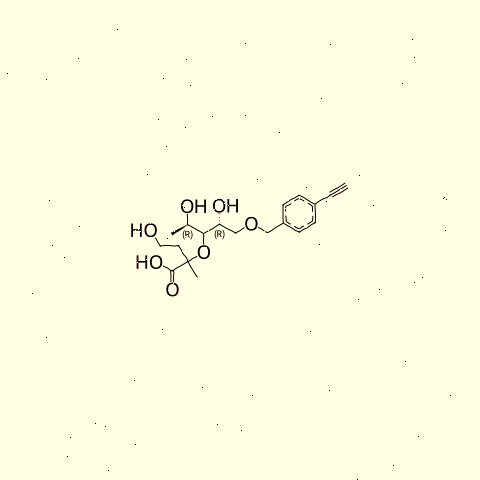 C#Cc1ccc(COC[C@@H](O)C(OC(C)(CCO)C(=O)O)[C@@H](C)O)cc1